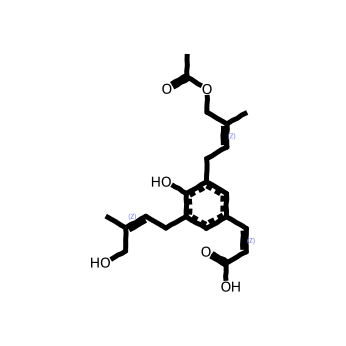 CC(=O)OC/C(C)=C\Cc1cc(/C=C\C(=O)O)cc(C/C=C(/C)CO)c1O